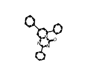 O=c1nc(-c2ccccc2)nc2cc(-c3ccccc3)cc(-c3ccccc3)n12